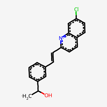 [CH2]C(O)c1cccc(/C=C/c2ccc3ccc(Cl)cc3n2)c1